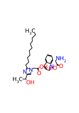 CCCCCCCCCCCc1nc(C(C)O)cn1CC(=O)O.NCC(=O)O.c1ccc2ncccc2c1